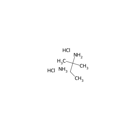 CCC(C)(C)N.Cl.Cl.N